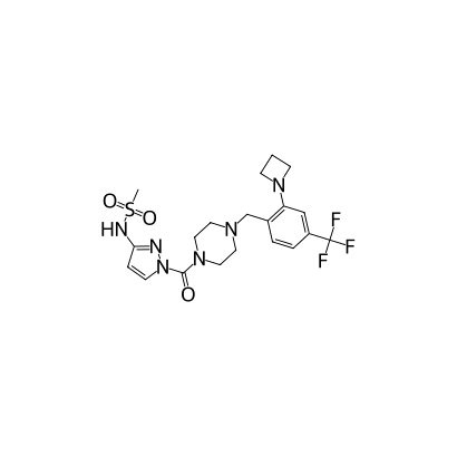 CS(=O)(=O)Nc1ccn(C(=O)N2CCN(Cc3ccc(C(F)(F)F)cc3N3CCC3)CC2)n1